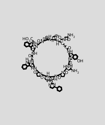 CCCC[C@H]1C(=O)N(C)[C@@H](CCCC)C(=O)N[C@@H](CC(C)C)C(=O)N[C@H](C(=O)NCC(N)=O)CSCC(=O)N[C@@H](Cc2ccc(O)cc2)C(=O)N(C)[C@@H](C)C(=O)N[C@@H](CC(N)=O)C(=O)N2CCCC2C(=O)N[C@@H](CNc2nccc(-c3ccccc3)n2)C(=O)N[C@@H](CC(C)C)C(=O)N2CCCC2C(=O)N[C@@H](Cc2c[nH]c3ccccc23)C(=O)NCC(=O)N[C@@H](Cc2cn(CC(=O)O)c3ccccc23)C(=O)N1C